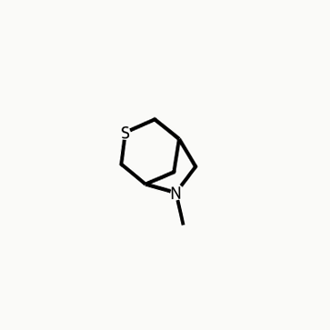 CN1CC2CSCC1C2